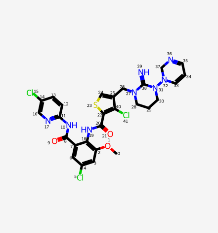 COc1cc(Cl)cc(C(=O)Nc2ccc(Cl)cn2)c1NC(=O)c1scc(CN2CCCN(N3C=CC=NC3)C2=N)c1Cl